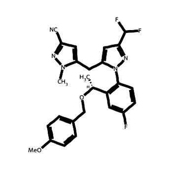 COc1ccc(CO[C@H](C)c2cc(F)ccc2-n2nc(C(F)F)cc2Cc2cc(C#N)nn2C)cc1